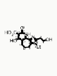 CCn1c(CCO)nc2c1CCCc1c-2[nH]c(=O)c(C(=O)O)c1O